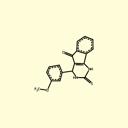 O=C1C2=C(NC(=S)NC2c2cccc(OC(F)(F)F)c2)c2ccccc21